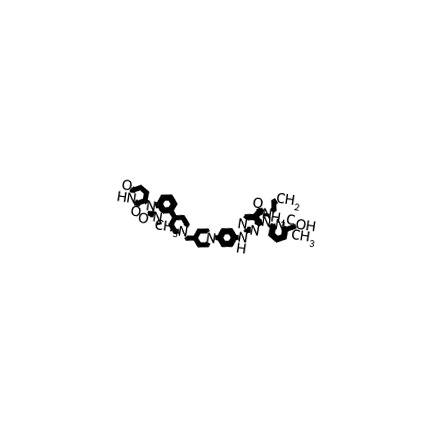 C=CCn1c(=O)c2cnc(Nc3ccc(N4CCC(CN5CCC(c6cccc7c6n(C)c(=O)n7C6CCC(=O)NC6=O)CC5)CC4)cc3)nc2n1-c1cccc(C(C)(C)O)n1